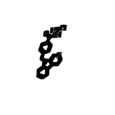 CCNNC(=O)c1ccc(Cn2c3ccccc3c3ccncc32)cc1